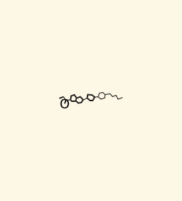 C=CC(=O)c1ccc2cc(-c3ccc(C4CCC(CCCCC)CC4)cc3)ccc2c1